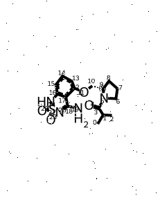 CC(C)C(=O)N1CCC[C@H]1COc1cccc2c1C(N)=NS(=O)(=O)N2